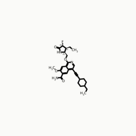 CCC1CCC(C#Cc2cnc(OC[C@H]3NC(=O)[C@@H](F)[C@H]3CC)c3cc(OC)c(C(N)=O)cc23)CC1